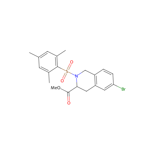 COC(=O)C1Cc2cc(Br)ccc2CN1S(=O)(=O)c1c(C)cc(C)cc1C